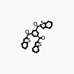 O=C(c1cc(C(=O)c2cc3ccccc3s2)cc(C(=O)c2cc3ccccc3s2)c1)c1cc2ccccc2s1